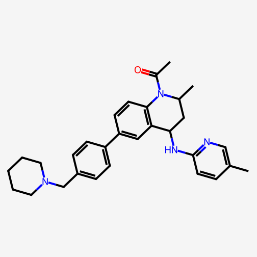 CC(=O)N1c2ccc(-c3ccc(CN4CCCCC4)cc3)cc2C(Nc2ccc(C)cn2)CC1C